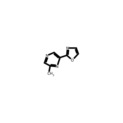 Cc1cncc(-c2ncco2)n1